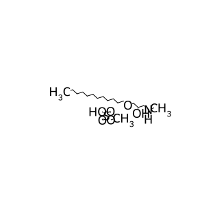 CCCCCCCCCCCCOCC(O)CNC.COS(=O)(=O)O